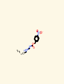 [CH2]CNC=NC(=O)OCc1ccc([N+](=O)[O-])cc1